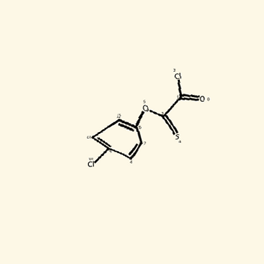 O=C(Cl)C(=S)Oc1ccc(Cl)cc1